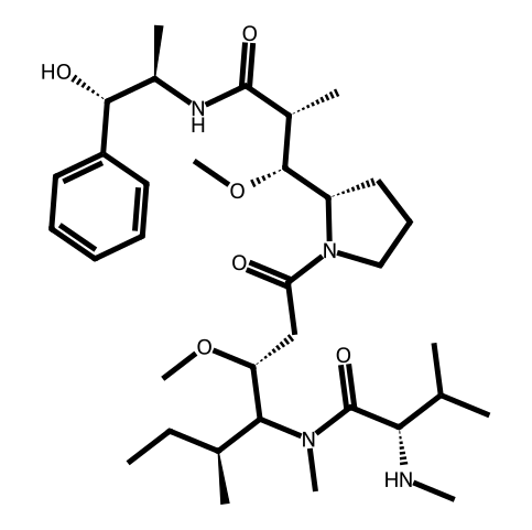 CC[C@H](C)C([C@@H](CC(=O)N1CCC[C@H]1[C@H](OC)[C@@H](C)C(=O)N[C@H](C)[C@@H](O)c1ccccc1)OC)N(C)C(=O)[C@@H](NC)C(C)C